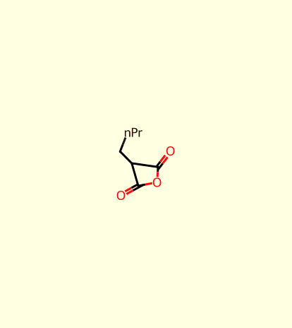 CCCCC1C(=O)OC1=O